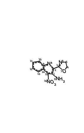 Nc1c(C2=NCCO2)nc2ccccc2c1[N+](=O)[O-]